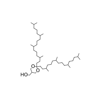 CC(C)CCCC(C)CCCC(C)CCCC(C)CCC1(CCC(C)CCCC(C)CCCC(C)CCCC(C)C)OCC(CO)CO1